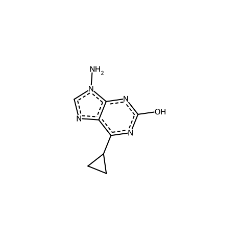 Nn1cnc2c(C3CC3)nc(O)nc21